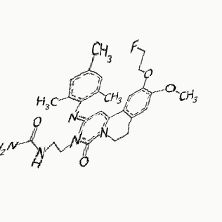 COc1cc2c(cc1OCCF)-c1c/c(=N\c3c(C)cc(C)cc3C)n(CCNC(N)=O)c(=O)n1CC2